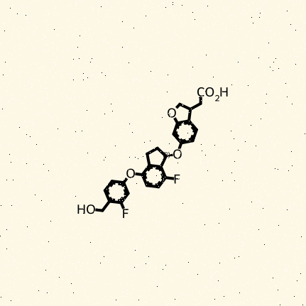 O=C(O)CC1COc2cc(O[C@@H]3CCc4c(Oc5ccc(CO)c(F)c5)ccc(F)c43)ccc21